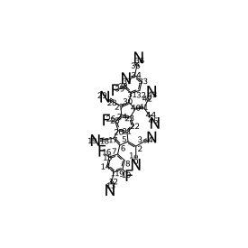 N#CC(C#N)=C1C(c2cc(F)c(C#N)cc2F)=C(C#N)c2c1cc1c(c2F)C(C#N)=C(c2ccc(C#N)nc2F)C1=C(C#N)C#N